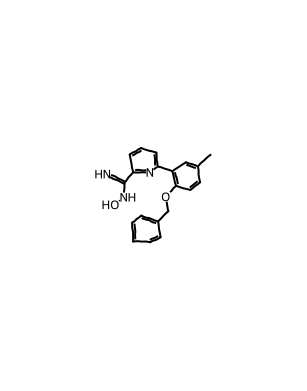 Cc1ccc(OCc2ccccc2)c(-c2cccc(C(=N)NO)n2)c1